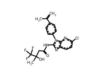 C=C(C)c1ccc(-n2c(NC(=O)CC(C)(O)C(F)(F)F)nc3ccc(Cl)nc32)cc1